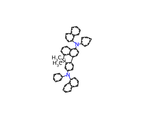 C[Si]1(C)c2cc(N(c3ccccc3)c3cccc4ccccc34)ccc2-c2ccc(N(c3ccccc3)c3cccc4ccccc34)c3cccc1c23